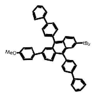 COc1ccc(-c2ccc3c(-c4ccc(-c5ccccc5)cc4)c4cc(C(C)(C)C)ccc4c(-c4ccc(-c5ccccc5)cc4)c3c2)cc1